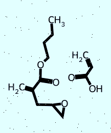 C=C(CC1CO1)C(=O)OCCCC.C=CC(=O)O